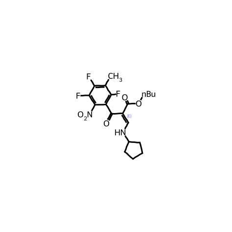 CCCCOC(=O)/C(=C/NC1CCCC1)C(=O)c1c(F)c(C)c(F)c(F)c1[N+](=O)[O-]